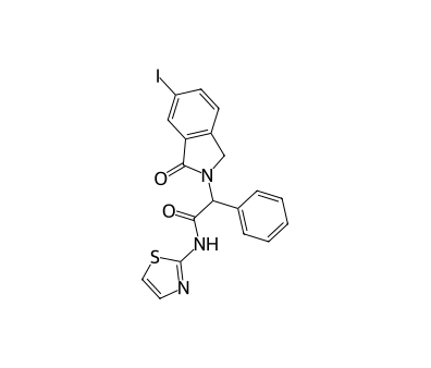 O=C(Nc1nccs1)C(c1ccccc1)N1Cc2ccc(I)cc2C1=O